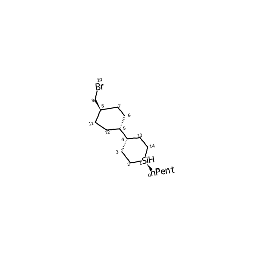 CCCCC[Si@H]1CC[C@H]([C@H]2CC[C@H](CBr)CC2)CC1